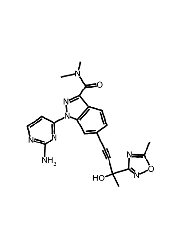 Cc1nc(C(C)(O)C#Cc2ccc3c(C(=O)N(C)C)nn(-c4ccnc(N)n4)c3c2)no1